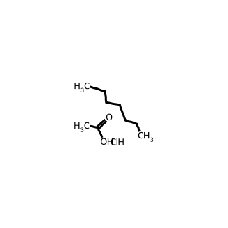 CC(=O)O.CCCCCCC.Cl